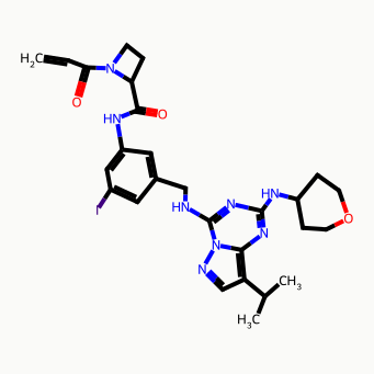 C=CC(=O)N1CCC1C(=O)Nc1cc(I)cc(CNc2nc(NC3CCOCC3)nc3c(C(C)C)cnn23)c1